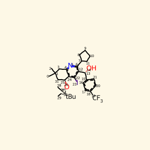 CC1(C)Cc2nc(C3CCCC3)c([C@H](O)c3ccc(C(F)(F)F)cc3)c(I)c2[C@@H](O[Si](C)(C)C(C)(C)C)C1